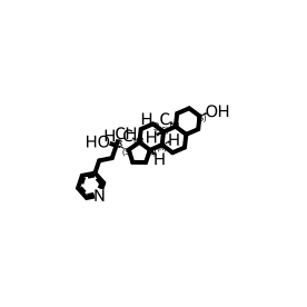 CC(O)(CCc1cccnc1)[C@H]1CC[C@H]2[C@@H]3CCC4C[C@@H](O)CC[C@]4(C)[C@H]3CC[C@]12C